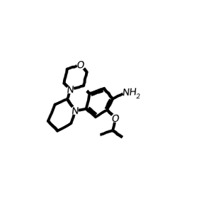 Cc1cc(N)c(OC(C)C)cc1N1CCCCC1N1CCOCC1